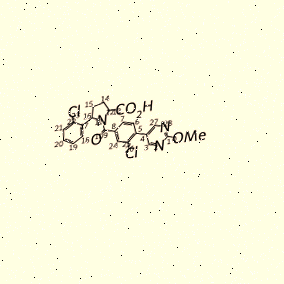 COc1ncc(-c2ccc(C(=O)N3C(C(=O)O)CCC3c3ccccc3Cl)cc2Cl)cn1